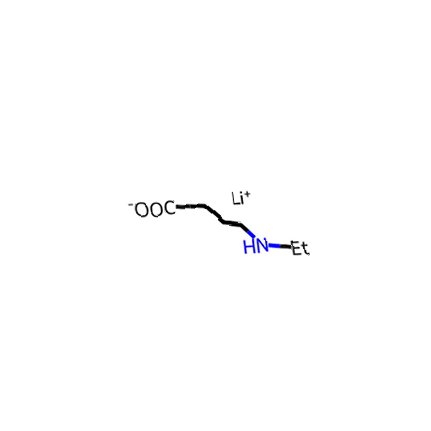 CCNCCCC(=O)[O-].[Li+]